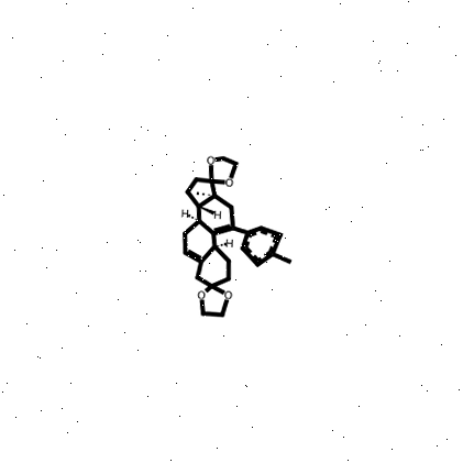 Cc1ccc(C2=C3[C@H]4CCC5(CC4=CC[C@H]3[C@@H]3CCC4(OCCO4)[C@@]3(C)C2)OCCO5)cc1